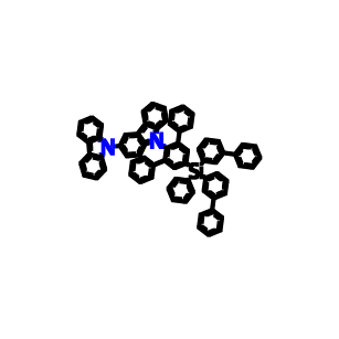 c1ccc(-c2cccc([Si](c3ccccc3)(c3cccc(-c4ccccc4)c3)c3cc(-c4ccccc4)c(-n4c5ccccc5c5cc(-n6c7ccccc7c7ccccc76)ccc54)c(-c4ccccc4)c3)c2)cc1